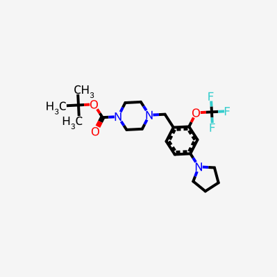 CC(C)(C)OC(=O)N1CCN(Cc2ccc(N3CCCC3)cc2OC(F)(F)F)CC1